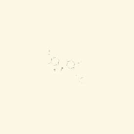 COC(=O)CCc1cc(C(=O)c2ccc(OC(C)C)cc2O)ccc1O